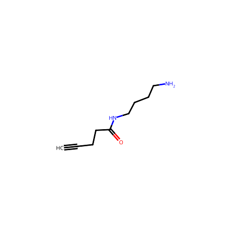 C#CCCC(=O)NCCCCN